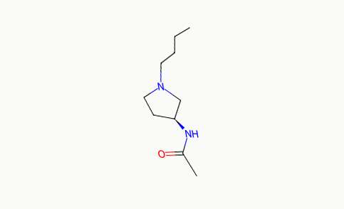 CCCCN1CC[C@H](NC(C)=O)C1